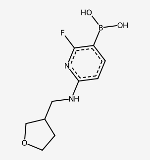 OB(O)c1ccc(NCC2CCOC2)nc1F